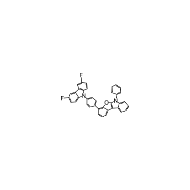 Fc1ccc2c(c1)c1cc(F)ccc1n2-c1ccc(-c2cccc3c2oc2c3c3ccccc3n2-c2ccccc2)cc1